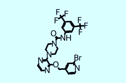 O=C(Nc1cc(C(F)(F)F)cc(C(F)(F)F)c1)N1CCN(c2nccnc2OCc2ccnc(Br)c2)CC1